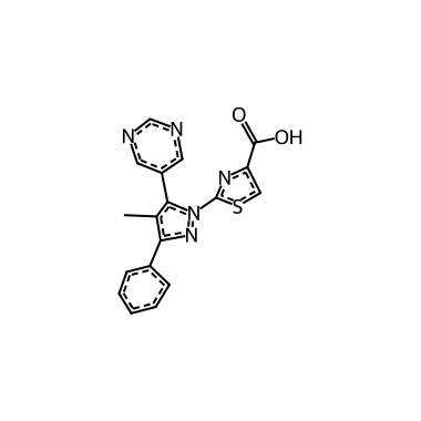 Cc1c(-c2ccccc2)nn(-c2nc(C(=O)O)cs2)c1-c1cncnc1